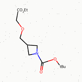 CCOC(=O)COCC1CN(C(=O)OC(C)(C)C)C1